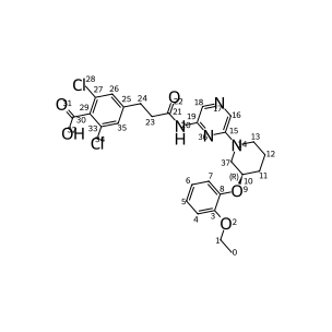 CCOc1ccccc1O[C@@H]1CCCN(c2cncc(NC(=O)CCc3cc(Cl)c(C(=O)O)c(Cl)c3)n2)C1